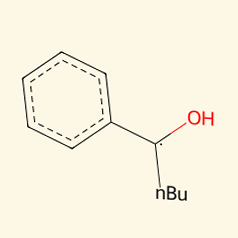 CCCC[C](O)c1ccccc1